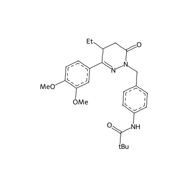 CCC1CC(=O)N(Cc2ccc(NC(=O)C(C)(C)C)cc2)N=C1c1ccc(OC)c(OC)c1